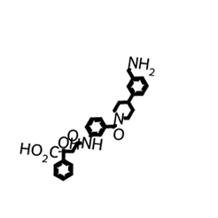 NCc1cccc(C2CCN(C(=O)c3cccc(NC(=O)C[C@@](O)(C(=O)O)c4ccccc4)c3)CC2)c1